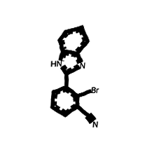 N#Cc1cccc(-c2nc3ccccc3[nH]2)c1Br